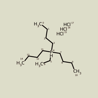 CCCC[PH](CC)(CCCC)CCCC.Cl.Cl.Cl